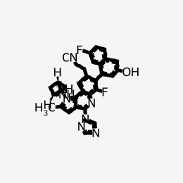 Cc1cc2c(-n3cncn3)nc3c(F)c(-c4cc(O)cc5ccc(F)cc45)c(CCC#N)cc3c2n1[C@H]1[C@H]2CN[C@@H]1C2